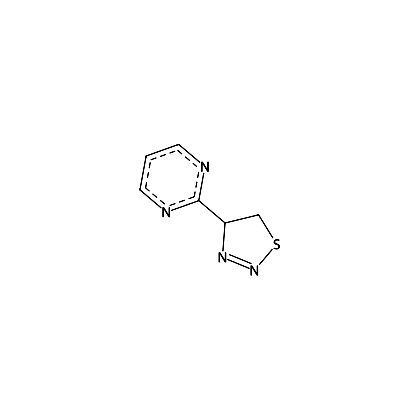 c1cnc(C2CSN=N2)nc1